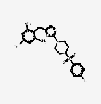 Cc1cc(C)c(Cc2csc(N3CCC(S(=O)(=O)c4ccc(Br)cc4)CC3)n2)c(C)c1